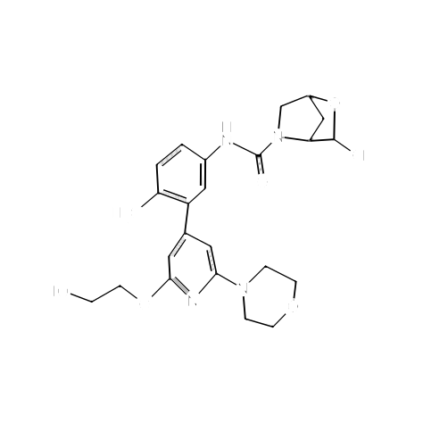 Cc1ccc(NC(=O)N2CC3CC2C(C(F)(F)F)O3)cc1-c1cc(OCCO)nc(N2CCOCC2)c1